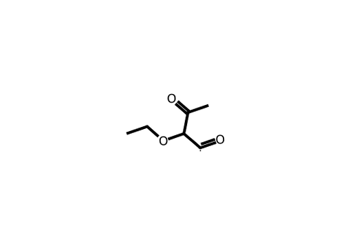 CCOC([C]=O)C(C)=O